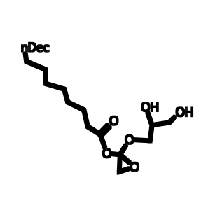 CCCCCCCCCCCCCCCCCC(=O)OC1(OCC(O)CO)CO1